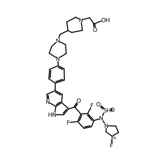 O=C(O)CN1CCC(CN2CCN(c3ccc(-c4cnc5[nH]cc(C(=O)c6c(F)ccc(N(N7CC[C@@H](F)C7)[SH](=O)=O)c6F)c5c4)cc3)CC2)CC1